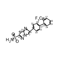 NS(=O)(=O)c1nn2cc(-c3ccc(-c4ccccc4C(F)(F)F)cc3)nc2s1